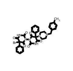 Cc1ccc(CN2CCN(C3(c4ccccc4)C(=O)NC(=O)N(N4C(=O)NC(=O)C(Br)(c5ccccc5)C4=O)C3=O)CC2)cc1